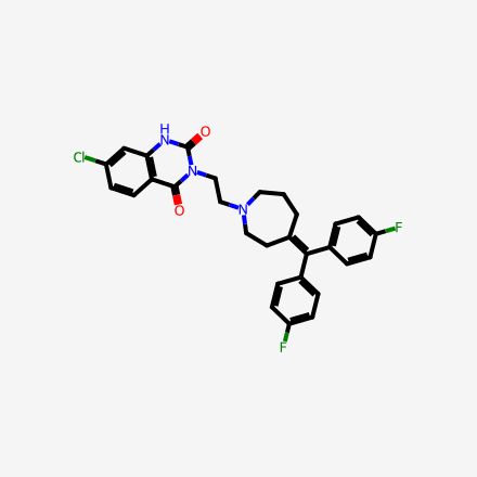 O=c1[nH]c2cc(Cl)ccc2c(=O)n1CCN1CCCC(=C(c2ccc(F)cc2)c2ccc(F)cc2)CC1